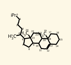 CC(C)CCCC(C)C1CCC2C3CC=C4CCCCC4(C)C3CCC12C